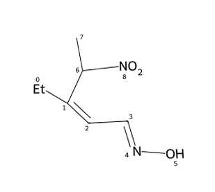 CCC(=CC=NO)C(C)[N+](=O)[O-]